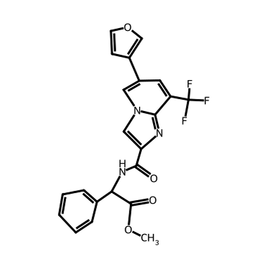 COC(=O)C(NC(=O)c1cn2cc(-c3ccoc3)cc(C(F)(F)F)c2n1)c1ccccc1